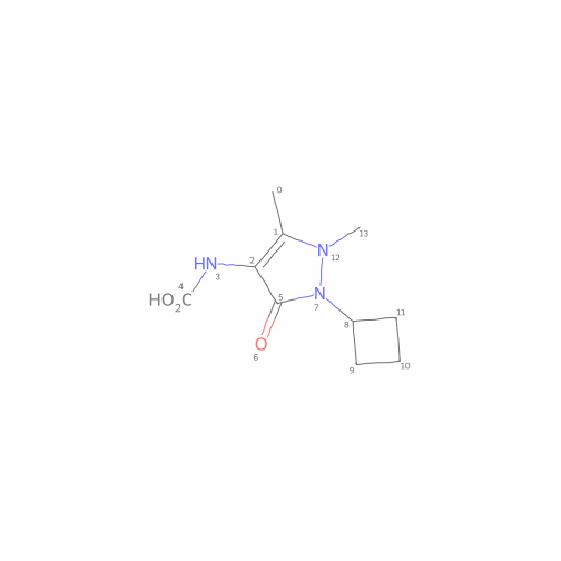 Cc1c(NC(=O)O)c(=O)n(C2CCC2)n1C